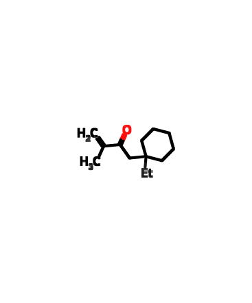 C=C(C)C(=O)CC1(CC)CCCCC1